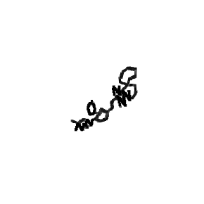 COc1cc(/C=C/c2nc3n(n2)CCCC32/C=C/C=C\C=C/C2)ccc1-n1cnc(C)c1